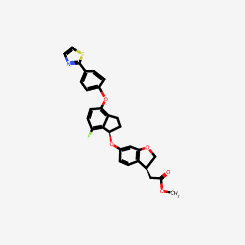 COC(=O)C[C@@H]1COc2cc(O[C@@H]3CCc4c(Oc5ccc(-c6nccs6)cc5)ccc(F)c43)ccc21